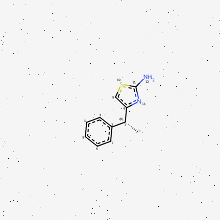 C[C@H](c1ccccc1)c1csc(N)n1